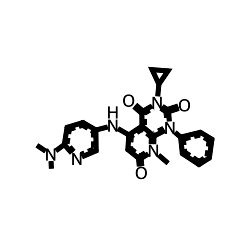 CN(C)c1ccc(Nc2cc(=O)n(C)c3c2c(=O)n(C2CC2)c(=O)n3-c2ccccc2)cn1